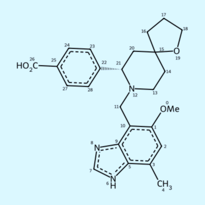 COc1cc(C)c2[nH]cnc2c1CN1CCC2(CCCO2)C[C@H]1c1ccc(C(=O)O)cc1